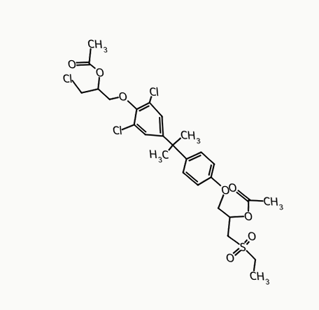 CCS(=O)(=O)CC(COc1ccc(C(C)(C)c2cc(Cl)c(OCC(CCl)OC(C)=O)c(Cl)c2)cc1)OC(C)=O